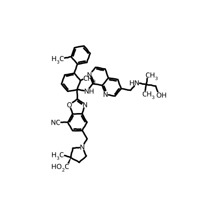 Cc1ccccc1C1=CC=CC(Nc2nccc3cc(CNC(C)(C)CO)cnc23)(c2nc3cc(CN4CC[C@@](C)(C(=O)O)C4)cc(C#N)c3o2)C1C